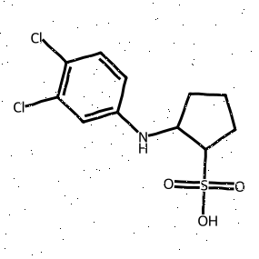 O=S(=O)(O)C1CCCC1Nc1ccc(Cl)c(Cl)c1